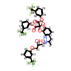 CC(Cc1ccc2c(c1)OC(C(=O)Oc1cccc(C(F)(F)F)c1)(C(=O)Oc1cccc(C(F)(F)F)c1)O2)NCC(O)COc1cccc(C(F)(F)F)c1